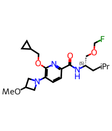 COC1CN(c2ccc(C(=O)N[C@H](COCF)CC(C)C)nc2OCC2CC2)C1